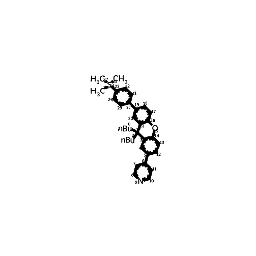 CCCCC1(CCCC)c2cc(-c3ccncc3)ccc2Oc2ccc(-c3ccc(S(C)(C)C)cc3)cc21